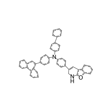 C1=C(c2ccc(N(c3ccc(-c4ccccc4)cc3)c3ccc(-c4cc5ccccc5c5ccccc45)cc3)cc2)CNc2oc3ccccc3c21